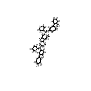 c1ccc(N(c2ccc3oc4ccccc4c3c2)c2cc3sc4nc(N(c5ccccc5)c5ccc6oc7ccccc7c6c5)cnc4c3cn2)cc1